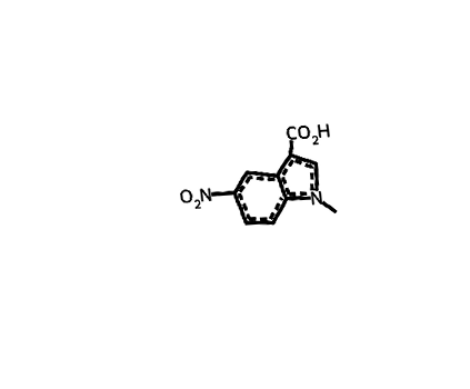 Cn1cc(C(=O)O)c2cc([N+](=O)[O-])ccc21